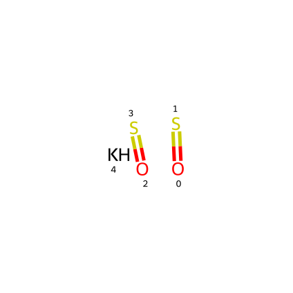 O=S.O=S.[KH]